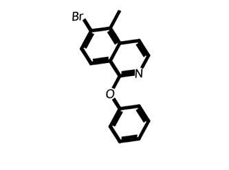 Cc1c(Br)ccc2c(Oc3ccccc3)nccc12